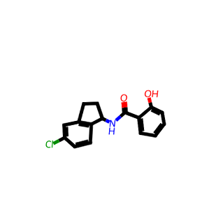 O=C(NC1CCc2cc(Cl)ccc21)c1ccccc1O